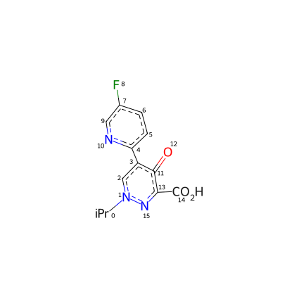 CC(C)n1cc(-c2ccc(F)cn2)c(=O)c(C(=O)O)n1